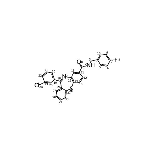 O=C(NCc1ccc(F)cc1)c1ccc2c(c1)N=C(c1cccc(Cl)c1)c1ccccc1S2